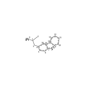 CC(C)C(C)Cc1ccc2sc3ccccc3c2c1